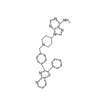 Nc1ncnc2c1ncn2C1CCN(Cc2ccc(-c3nc4ncccc4cc3-c3ccccc3)cc2)CC1